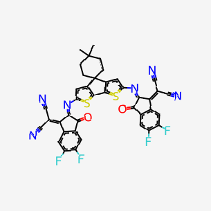 CC1(C)CCC2(CC1)c1cc(/N=C3\C(=O)c4cc(F)c(F)cc4C3=C(C#N)C#N)sc1-c1sc(/N=C3\C(=O)c4cc(F)c(F)cc4C3=C(C#N)C#N)cc12